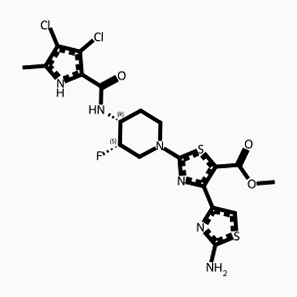 COC(=O)c1sc(N2CC[C@@H](NC(=O)c3[nH]c(C)c(Cl)c3Cl)[C@@H](F)C2)nc1-c1csc(N)n1